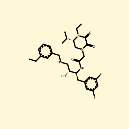 CCc1cccc(CNC[C@@H](O)[C@H](Cc2cc(F)cc(F)c2)NC(=O)CN2C[C@H](C(C)C)N(CC)C(=O)C2=O)c1